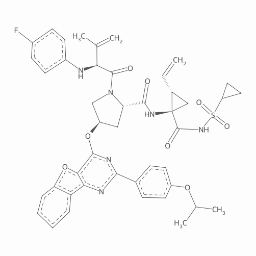 C=C[C@@H]1C[C@]1(NC(=O)[C@@H]1C[C@@H](Oc2nc(-c3ccc(OC(C)C)cc3)nc3c2oc2ccccc23)CN1C(=O)[C@@H](Nc1ccc(F)cc1)C(=C)C)C(=O)NS(=O)(=O)C1CC1